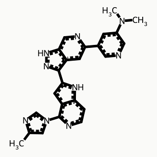 Cc1cn(-c2nccc3[nH]c(-c4n[nH]c5cnc(-c6cncc(N(C)C)c6)cc45)cc23)cn1